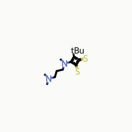 CN(C)CCCN(C)c1c(C(C)(C)C)c(=S)c1=S